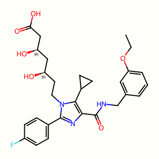 CCOc1cccc(CNC(=O)c2nc(-c3ccc(F)cc3)n(CC[C@@H](O)C[C@@H](O)CC(=O)O)c2C2CC2)c1